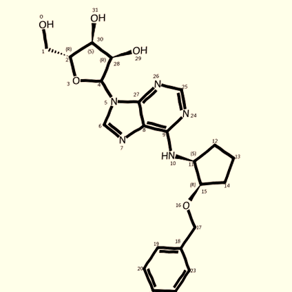 OC[C@H]1OC(n2cnc3c(N[C@H]4CCC[C@H]4OCc4ccccc4)ncnc32)[C@H](O)[C@@H]1O